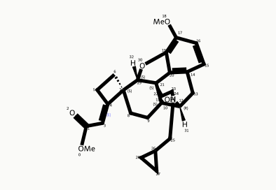 COC(=O)/C=C1\CC[C@]12CC[C@@]1(O)[C@H]3Cc4ccc(OC)c5c4[C@@]1(CCN3CC1CC1)[C@H]2O5